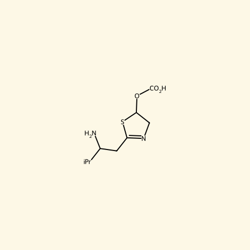 CC(C)C(N)CC1=NCC(OC(=O)O)S1